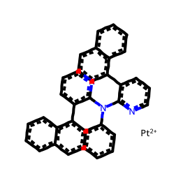 [Pt+2].c1ccc(N(c2ncccc2-c2cccc3ccccc23)c2ncccc2-c2cccc3ccccc23)cc1